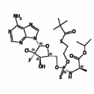 CC(C)OC(=O)[C@@H](C)N[P@@](=S)(OCCSC(=O)C(C)(C)C)OC[C@H]1O[C@@H](n2cnc3c(N)ncnc32)[C@](F)(Cl)[C@@H]1O